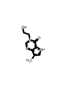 Cc1c[nH]c2c(=O)n(CCO)cnc12